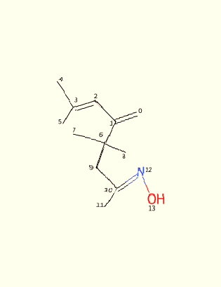 C=C(C=C(C)C)C(C)(C)CC(C)=NO